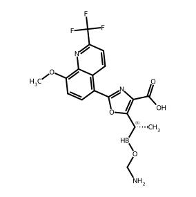 COc1ccc(-c2nc(C(=O)O)c([C@H](C)BOCN)o2)c2ccc(C(F)(F)F)nc12